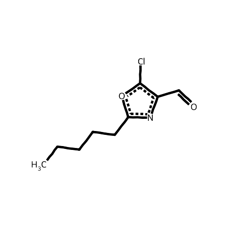 CCCCCc1nc(C=O)c(Cl)o1